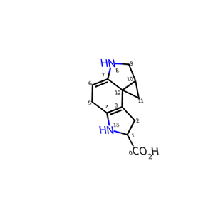 O=C(O)C1CC2=C(CC=C3NCC4CC324)N1